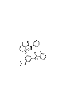 CC1=C(C(=O)Nc2ccccc2)S(=O)(=O)CCO1.Cc1ccccc1C(=O)Nc1cccc(OC(C)C)c1